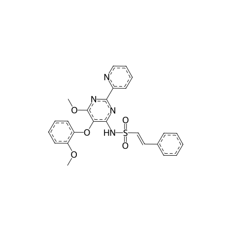 COc1ccccc1Oc1c(NS(=O)(=O)/C=C/c2ccccc2)nc(-c2ccccn2)nc1OC